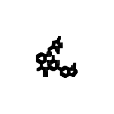 Cc1cc(COc2cccc(C(C)Nc3cc(-c4ccc5ccn(C)c5c4)nc(C)n3)c2)n(C)n1